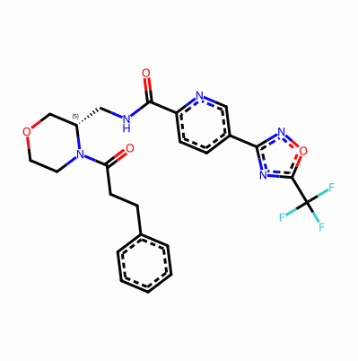 O=C(NC[C@H]1COCCN1C(=O)CCc1ccccc1)c1ccc(-c2noc(C(F)(F)F)n2)cn1